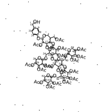 CC(=O)OCC1CO[C@@H](Oc2ccc(CO)cc2)C(OC(C)=O)C(OC(C)=O)[C@@H]1O[C@@H]1OC(CO[C@H]2OC[C@@H](OC(C)=O)C(OC(C)=O)C2OC(C)=O)[C@@H](O[C@@H]2OC(CO[C@H]3OC[C@@H](OC(C)=O)C(OC(C)=O)C3OC(C)=O)[C@@H](O[C@@H]3OC(CO[C@H]4OC[C@@H](OC(C)=O)C(OC(C)=O)C4OC(C)=O)[C@@H](OC(C)=O)C(OC(C)=O)C3OC(C)=O)C(OC(C)=O)C2OC(C)=O)C(OC(C)=O)C1OC(C)=O